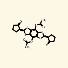 CC(=O)Oc1c2c(c(OC(C)=O)c3c1SC(=C1CCCC1=O)S3)SC(=C1CCCC1=O)S2